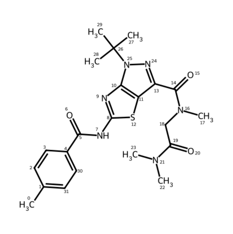 Cc1ccc(C(=O)Nc2nc3c(s2)c(C(=O)N(C)CC(=O)N(C)C)nn3C(C)(C)C)cc1